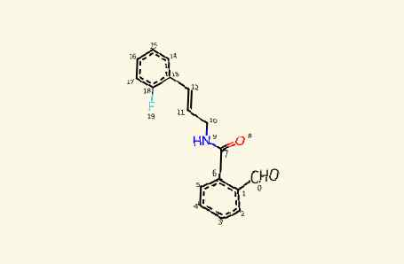 O=Cc1ccccc1C(=O)NC/C=C/c1ccccc1F